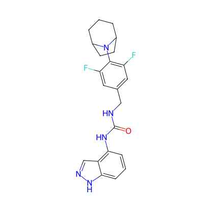 O=C(NCc1cc(F)c(N2C3CCCC2CC3)c(F)c1)Nc1cccc2[nH]ncc12